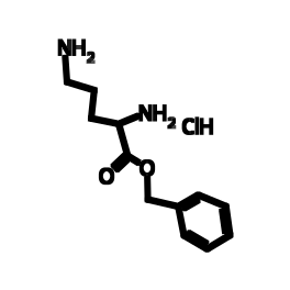 Cl.NCCCC(N)C(=O)OCc1ccccc1